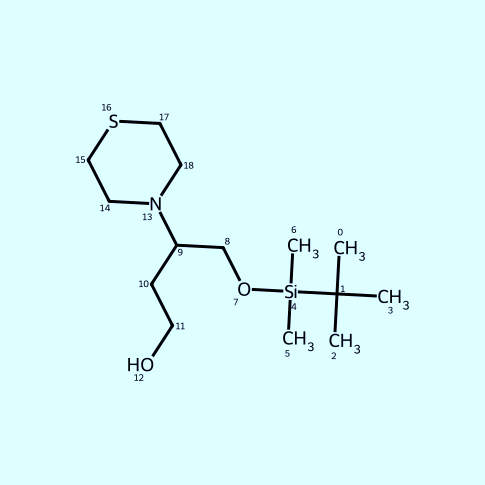 CC(C)(C)[Si](C)(C)OCC(CCO)N1CCSCC1